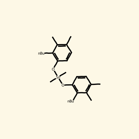 CCCCc1c([O][Sn]([CH3])([CH3])[O]c2ccc(C)c(C)c2CCCC)ccc(C)c1C